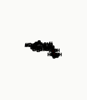 COc1cc([C@@H](OCc2cn([C@H]3C[C@@H](O)[C@@H](COP(=O)(O)OP(=O)(O)OP(=O)(O)O)O3)c(=O)[nH]c2=O)C(C)(C)C)c([N+](=O)[O-])cc1C#CCNC(=O)c1ccc(C(=O)O)c(-c2c3cc(OC)c(=O)c(Cl)c-3oc3c(Cl)c(O)c(OC)cc23)c1